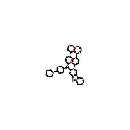 c1ccc(-c2ccc(-c3cc4c(cc3N(c3ccc(-c5ccccc5)cc3)c3ccc(-c5ccccc5)cc3)sc3ccccc34)cc2)cc1